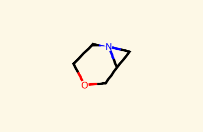 C1C[N@@]2CC2CO1